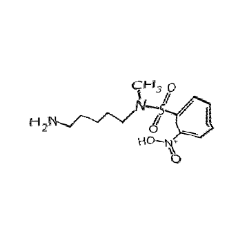 CN(CCCCCN)S(=O)(=O)c1ccccc1[N+](=O)O